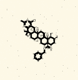 Cc1nc(Cl)c2c(n1)C(C)(C)[C@H]1CC[C@@]3(C)[C@@H](CC=C4[C@@H]5[C@@H](C)[C@@H](C)CC[C@]5(C(=O)OCc5ccccc5)CC[C@]43C)[C@]1(C)C2